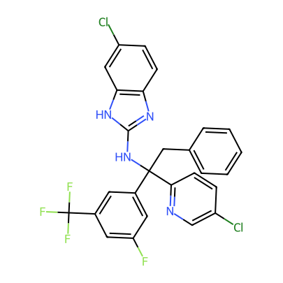 Fc1cc(C(F)(F)F)cc(C(Cc2ccccc2)(Nc2nc3ccc(Cl)cc3[nH]2)c2ccc(Cl)cn2)c1